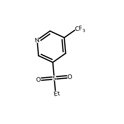 CCS(=O)(=O)c1cncc(C(F)(F)F)c1